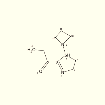 [CH2]CC(=O)C1=NCC[SH]1N1CCC1